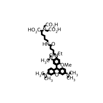 CCN(CCCC(=O)NCCCCC(C(=O)O)N(CC(=O)O)CC(=O)O)c1cc(OC)c(-c2c3ccc(=[N+](C)C)cc-3oc3cc(N(C)C)ccc23)cc1N(C)C